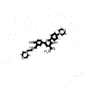 N=C1C=CC(c2cc(C(N)=O)c3[nH]c4cc(N5CCOCC5)ccc4c3n2)=C/C1=C/NCCN1CCOCC1